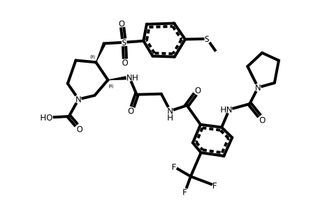 CSc1ccc(S(=O)(=O)C[C@@H]2CCN(C(=O)O)C[C@@H]2NC(=O)CNC(=O)c2cc(C(F)(F)F)ccc2NC(=O)N2CCCC2)cc1